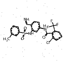 Cc1cccc(S(=O)(=O)Nc2cc(NC(=O)c3c(Cl)cccc3C(F)(F)F)ccc2C=N)c1